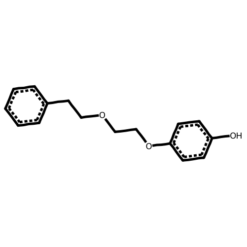 Oc1ccc(OCCOCCc2ccccc2)cc1